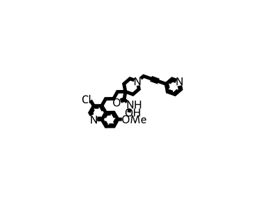 COc1ccc2ncc(Cl)c(CCCC3(C(=O)NO)CCN(CC#Cc4cccnc4)CC3)c2c1